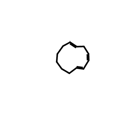 [C]1=C/C/C=C\C=C\CCCCC/1